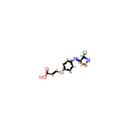 O=C(O)C=CSc1ccc(/N=c2\ssnc2Cl)cc1